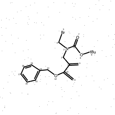 C=C(CN(CBr)C(=O)OC(C)(C)C)C(=C)OCc1ccccc1